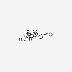 CC(=O)N1C[C@H]2CC(/C=C/c3ccc[n+](C/C=C/c4ccccc4)c3)=C(C(=O)[O-])N3C(=O)[C@@H]1[C@@H]23